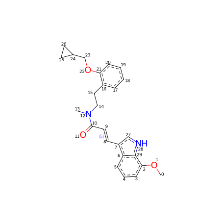 COc1cccc2c(/C=C/C(=O)N(C)CCc3ccccc3OCC3CC3)c[nH]c12